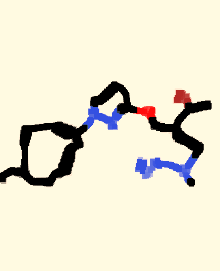 C=C(Br)/C(=C/N(C)N)COc1ccn(C2=C/C=CC(C)C/C=C\2)n1